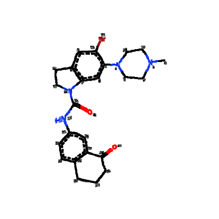 CN1CCN(c2cc3c(cc2Br)CCN3C(=O)Nc2ccc3c(c2)C(=O)CCC3)CC1